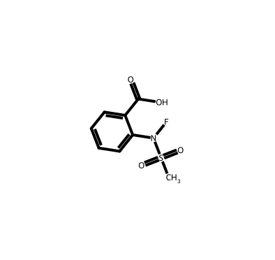 CS(=O)(=O)N(F)c1ccccc1C(=O)O